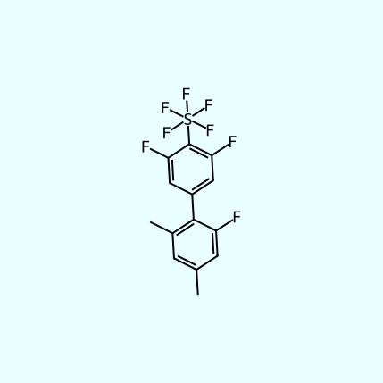 Cc1cc(C)c(-c2cc(F)c(S(F)(F)(F)(F)F)c(F)c2)c(F)c1